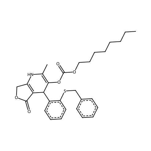 CCCCCCCCOC(=O)OC1=C(C)NC2=C(C(=O)OC2)C1c1ccccc1SCc1ccccc1